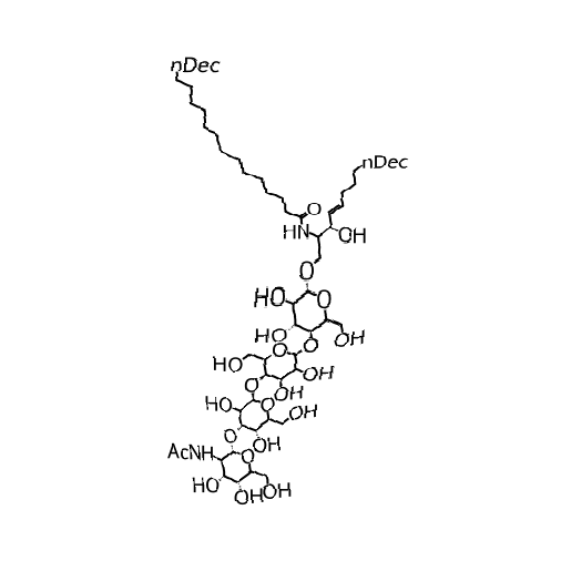 CCCCCCCCCCCCC/C=C/[C@@H](O)C(CO[C@@H]1OC(CO)[C@@H](O[C@@H]2OC(CO)[C@H](O[C@H]3OC(CO)[C@H](O)[C@H](O[C@@H]4OC(CO)[C@H](O)[C@H](O)C4NC(C)=O)C3O)[C@H](O)C2O)[C@H](O)C1O)NC(=O)CCCCCCCCCCCCCCCCCCCCCCC